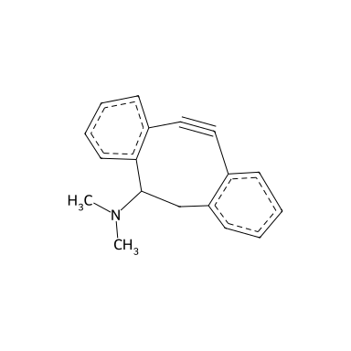 CN(C)C1Cc2ccccc2C#Cc2ccccc21